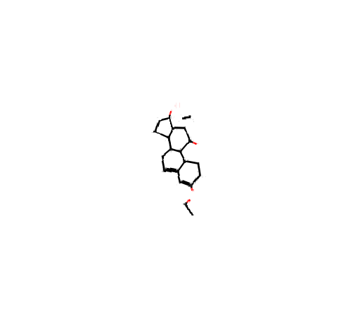 CCOC1=CC2=CCC3C(C(O)C[C@]4(CC)C(O)CCC34)C2CC1